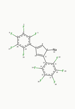 Fc1c(F)c(F)c(C2=C[CH]([Na])C(c3c(F)c(F)c(F)c(F)c3F)=C2)c(F)c1F